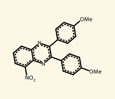 COc1ccc(-c2nc3cccc([N+](=O)[O-])c3nc2-c2ccc(OC)cc2)cc1